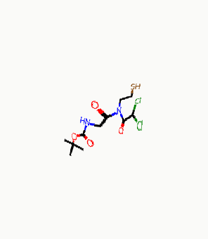 CC(C)(C)OC(=O)NCC(=O)N(CCS)C(=O)C(Cl)Cl